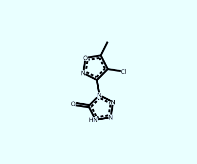 Cc1onc(-n2nn[nH]c2=O)c1Cl